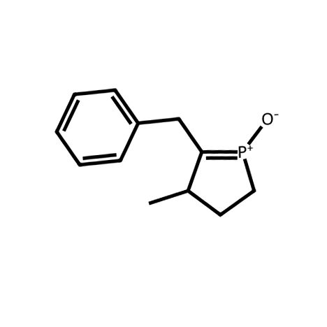 CC1CC[P+]([O-])=C1Cc1ccccc1